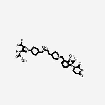 CN(CCC1CCN(Cc2cccc3c2n(C)c(=O)n3C2CCC(=O)NC2=O)CC1)CC1CCC(n2cc(NC(=O)OC(C)(C)C)c(C(F)F)n2)CC1